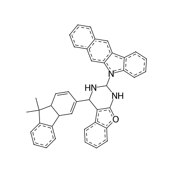 CC1(C)c2ccccc2C2C=C(C3NC(n4c5ccccc5c5cc6ccccc6cc54)Nc4oc5ccccc5c43)C=CC21